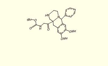 COc1cc2c(cc1OC)C(c1ccccc1)N1CCNCC1(C(=O)CNC(=O)OC(C)(C)C)C2